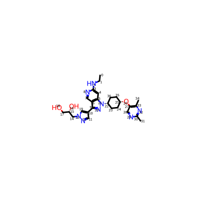 CCNc1cc2c(cn1)c(-c1cnn(C[C@@H](O)CO)c1)nn2[C@H]1CC[C@@H](Oc2cnc(C)nc2C)CC1